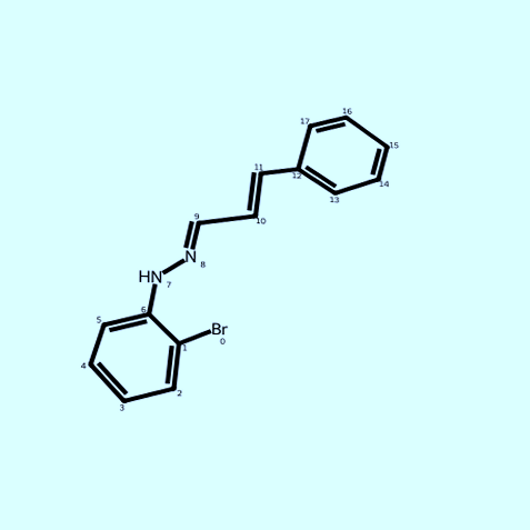 Brc1ccccc1NN=CC=Cc1ccccc1